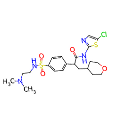 CN(C)CCNS(=O)(=O)c1ccc(C(CC2CCOCC2)C(=O)Nc2ncc(Cl)s2)cc1